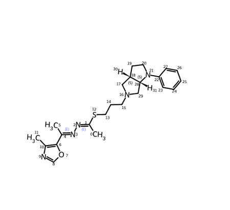 C/C(=N\N=C(/C)c1ocnc1C)SCCCN1C[C@@H]2CCN(c3ccccc3)[C@@H]2C1